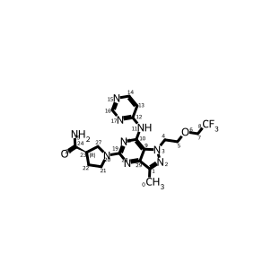 Cc1nn(CCOCC(F)(F)F)c2c(Nc3ccncn3)nc(N3CC[C@@H](C(N)=O)C3)nc12